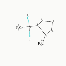 FC(F)(F)C1CCCC1C(F)(F)C(F)(F)F